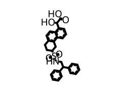 O=C(O)C(O)c1cccc2c3c(ccc12)CCC(S(=O)(=O)NCC(c1ccccc1)c1ccccc1)C3